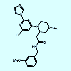 COc1cccc(CNC(=O)CC2CN(C(C)=O)CCN2c2cc(C(C)C)nc(-n3ccnc3)n2)c1